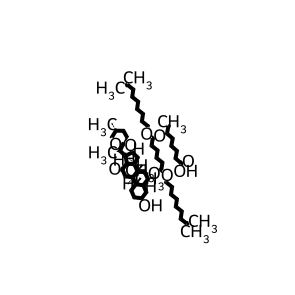 CC(C)CCCCCCCOC(=O)CCCCC(=O)OCCCCCCCC(C)C.CCCCCCCC(=O)O.C[C@@H]1CC[C@@]2(OC1)O[C@H]1C[C@H]3[C@@H]4CC[C@H]5C[C@@H](O)CC[C@]5(C)[C@H]4CC(=O)[C@]3(C)[C@H]1[C@@H]2C